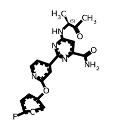 CC(=O)[C@H](C)Nc1cc(C(N)=O)nc(-c2ccnc(Oc3ccc(F)cc3)c2)n1